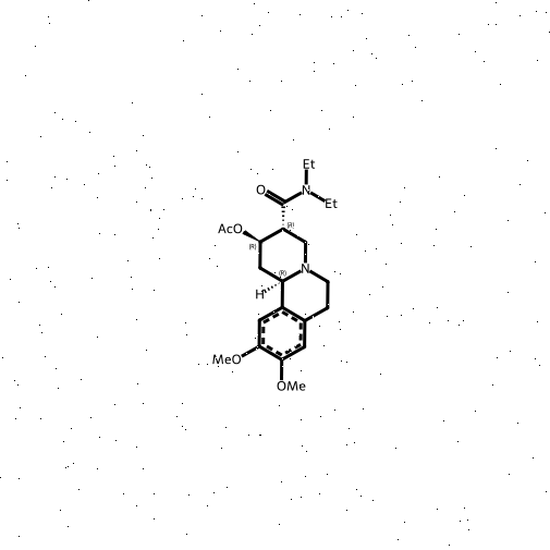 CCN(CC)C(=O)[C@@H]1CN2CCc3cc(OC)c(OC)cc3[C@H]2C[C@H]1OC(C)=O